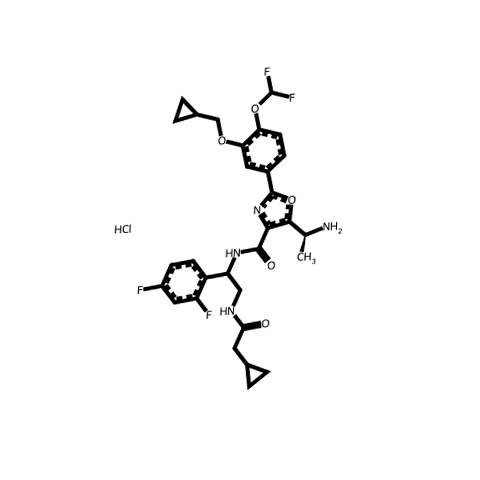 C[C@H](N)c1oc(-c2ccc(OC(F)F)c(OCC3CC3)c2)nc1C(=O)NC(CNC(=O)CC1CC1)c1ccc(F)cc1F.Cl